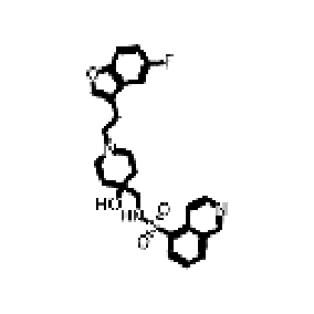 O=S(=O)(NCC1(O)CCN(CCc2coc3ccc(F)cc23)CC1)c1cccc2cnccc12